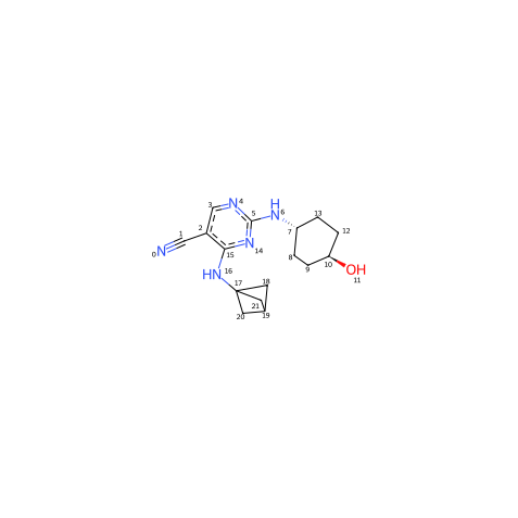 N#Cc1cnc(N[C@H]2CC[C@H](O)CC2)nc1NC12CC(C1)C2